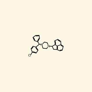 Clc1ccc(C(c2ccccc2)N2CCN(C3Cc4cccc5cccc3c45)CC2)cc1